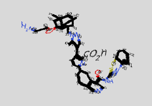 Cc1c(-c2ccc(-c3ccc4cncc(C(=O)Nc5nc6ccccc6s5)c4c3)nc2C(=O)O)cnn1CC12CC3(C)CC(C)(C1)CC(OCCN)(C3)C2